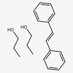 C(=Cc1ccccc1)c1ccccc1.CCCO.CCCO